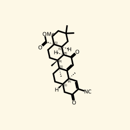 [C-]#[N+]C1=C[C@]2(C)C3=CC(=O)[C@@H]4[C@@H]5CC(C)(C)CC[C@]5(C(=O)OC)CC[C@@]4(C)[C@]3(C)CC[C@H]2CC1=O